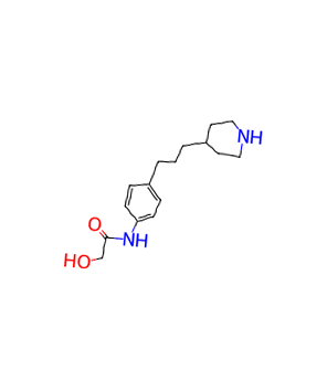 O=C(CO)Nc1ccc(CCCC2CCNCC2)cc1